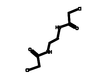 O=C(CCl)N[CH]CNC(=O)CCl